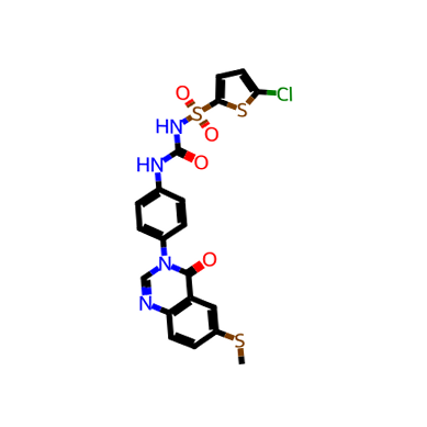 CSc1ccc2ncn(-c3ccc(NC(=O)NS(=O)(=O)c4ccc(Cl)s4)cc3)c(=O)c2c1